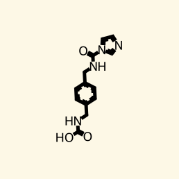 O=C(O)NCc1ccc(CNC(=O)n2ccnc2)cc1